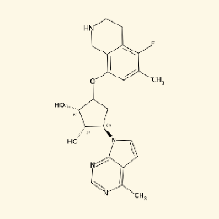 Cc1cc(OC2C[C@@H](n3ccc4c(C)ncnc43)[C@H](O)[C@@H]2O)c2c(c1F)CCNC2